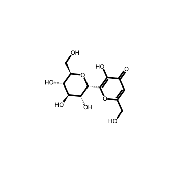 O=c1cc(CO)oc([C@H]2O[C@H](CO)[C@@H](O)[C@H](O)[C@H]2O)c1O